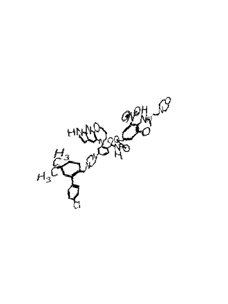 CC1(C)CCC(CN2CCN(c3ccc(C(=O)NS(=O)(=O)c4cc5c(c([N+](=O)[O-])c4)N[C@H](CCN4CCOCC4)CO5)c(N4CCCOc5nc6[nH]ccc6cc54)c3)CC2)=C(c2ccc(Cl)cc2)C1